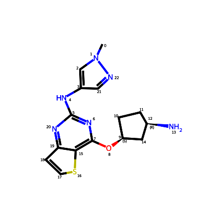 Cn1cc(Nc2nc(O[C@H]3CC[C@@H](N)C3)c3sccc3n2)cn1